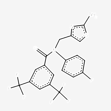 Nc1nc(CN(C(=O)c2cc(C(F)(F)F)cc(C(F)(F)F)c2)c2ccc(F)cc2)cs1